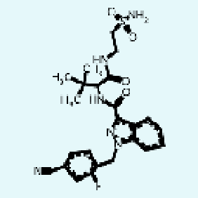 CC(C)(C)[C@H](NC(=O)c1nn(Cc2ccc(C#N)cc2F)c2ccccc12)C(=O)NCCS(N)(=O)=O